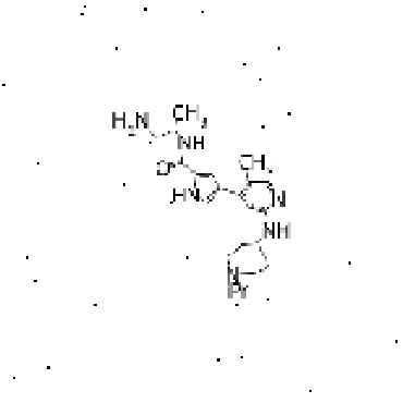 Cc1cnc(NC2CCN(C(C)C)CC2)cc1-c1c[nH]c(C(=O)N[C@@H](C)CN)c1